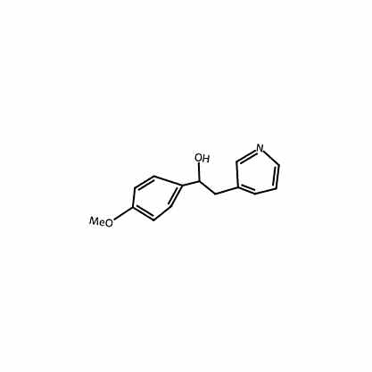 COc1ccc(C(O)Cc2cccnc2)cc1